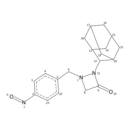 O=Nc1ccc(CN2CC(=O)N2C2C3CC4CC(C3)CC2C4)cc1